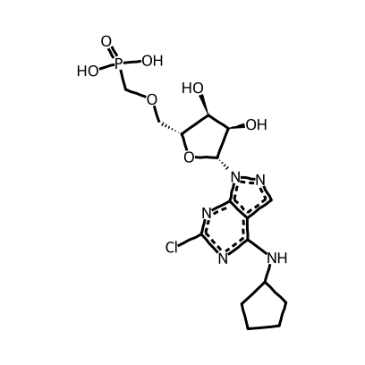 O=P(O)(O)COC[C@H]1O[C@@H](n2ncc3c(NC4CCCC4)nc(Cl)nc32)[C@H](O)[C@@H]1O